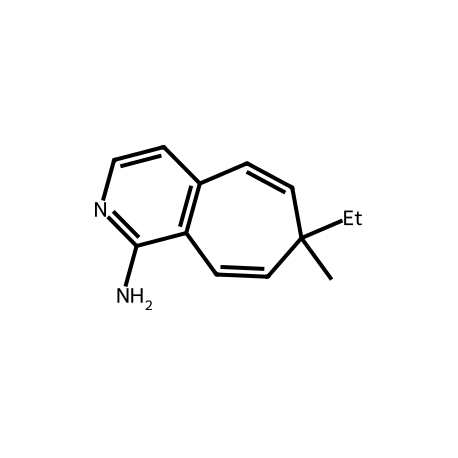 CCC1(C)C=Cc2ccnc(N)c2C=C1